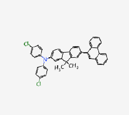 CC1(C)c2cc(-c3cc4ccccc4c4ccccc34)ccc2-c2ccc(N(c3ccc(Cl)cc3)c3ccc(Cl)cc3)cc21